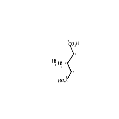 I.I.O=C(O)CCCC(=O)O